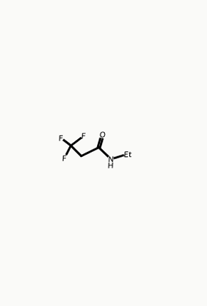 CCNC(=O)CC(F)(F)F